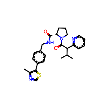 Cc1ncsc1-c1ccc(CNC(=O)[C@@H]2CCCN2C(=O)C(c2ccccn2)C(C)C)cc1